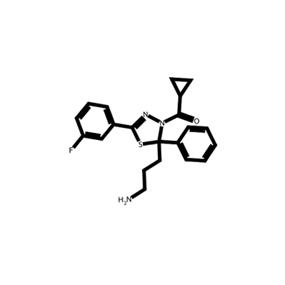 NCCCC1(c2ccccc2)SC(c2cccc(F)c2)=NN1C(=O)C1CC1